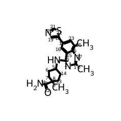 Cc1nc(NC2CCC(C)(C(N)=O)CC2)c2cc(-c3cncs3)cc(C)c2n1